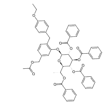 CCOc1ccc(Cc2ccc(COC(C)=O)cc2O[C@@H]2O[C@H]([C@@H](C)OC(=O)c3ccccc3)[C@@H](OC(=O)c3ccccc3)[C@H](OC(=O)c3ccccc3)[C@H]2OC(=O)c2ccccc2)cc1